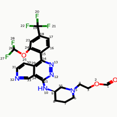 O=COCCN1CCC[C@@H](Nc2nnc(-c3ccc(C(F)(F)F)cc3OC(F)F)c3ccncc23)C1